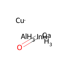 [AlH3].[Cu].[GaH3].[O]=[InH]